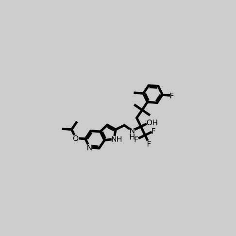 Cc1ccc(F)cc1C(C)(C)CC(O)(NCc1cc2cc(OC(C)C)ncc2[nH]1)C(F)(F)F